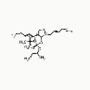 CC/C=C/CN1CCN(C/C=C/CC)C1=NP(=O)(OC(C)CC)OC(C)(C)C